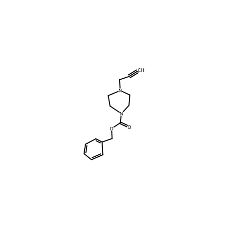 C#CCN1CCN(C(=O)OCc2ccccc2)CC1